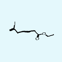 C=C(I)CCCCC(=O)OCC